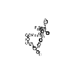 COC(=O)c1ccc(C(=O)N2CCN(C[C@]3(C)CCC(c4ccc(Cl)cc4)=C(CN4CCN(c5ccc(C(=O)NS(=O)(=O)c6ccc(N[C@H](CCN7CCCOCC7)CSc7ccccc7)c(S(=O)(=O)C(F)(F)F)c6)cc5)CC4)C3)CC2)nc1